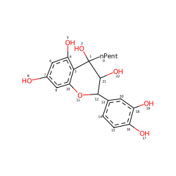 CCCCCC1(O)c2c(O)cc(O)cc2OC(c2ccc(O)c(O)c2)C1O